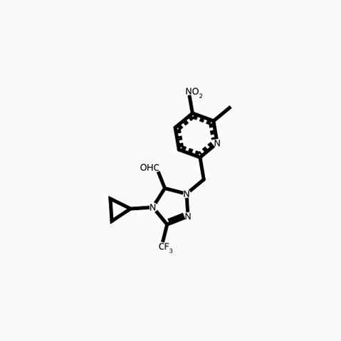 Cc1nc(CN2N=C(C(F)(F)F)N(C3CC3)C2C=O)ccc1[N+](=O)[O-]